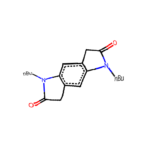 CCCCN1C(=O)Cc2cc3c(cc21)CC(=O)N3CCCC